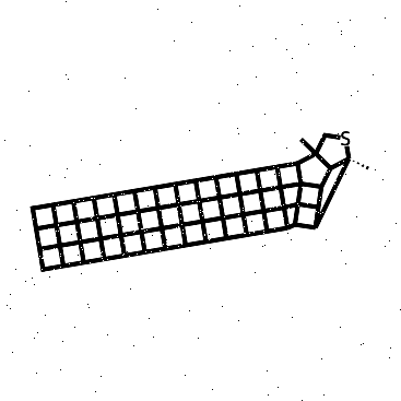 CC12CS[C@@]3(C)C4C5C(C13)C13C2C2C6C7C8C9C%10C%11C%12C%13C%14C%15C%16CC%17C%18CC%19C%20C%21C%22C%23C%24C%25C%26C%27C%28C%29C%30C4C51C%301C23C62C%291C%281C72C82C%271C%261C92C%102C%113C%124C%135C%146C%157C%17%16C%18%19C%207C%216C%225C%234C%243C%2512